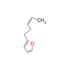 C/C=C\CCc1ccco1